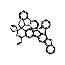 C=CC1=NC(C=C)(CC)C(CC)(C2c3ccccc3-c3cccc[n+]32)c2cc3c(cc21)c1cc2c4ccccc4sc2c2c4ccccc4n3c12